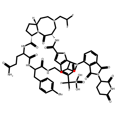 CC(C)(C)c1ccc(CC(NC(=O)C(CCC(N)=O)NC(=O)[C@@H]2CC[C@@H]3CCN(CC(F)F)C[C@H](NC(=O)c4cc5cc(C(F)(F)P(=O)(O)O)ccc5s4)C(=O)N32)C(=O)NCCC2CN(c3cccc4c3C(=O)N(C3CCC(=O)NC3=O)C4=O)C2)cc1